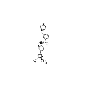 Cn1nc(-c2ccc(NC(=O)c3cccc(CN4CCSCC4)c3)nc2)cc1C1CC1